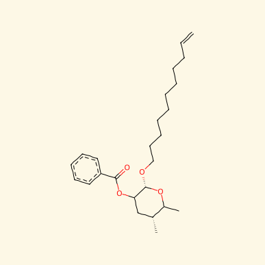 C=CCCCCCCCCCO[C@@H]1OC(C)[C@H](C)CC1OC(=O)c1ccccc1